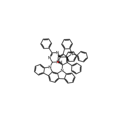 c1ccc(C2=NC(n3c4ccccc4c4ccc5c6ccccc6n(-c6ccc7c8ccccc8n(-c8ccccc8)c7c6-c6ccccc6)c5c43)NC(c3ccccc3)=N2)cc1